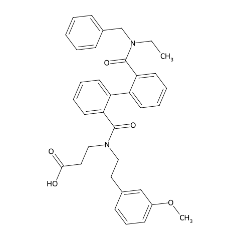 CCN(Cc1ccccc1)C(=O)c1ccccc1-c1ccccc1C(=O)N(CCC(=O)O)CCc1cccc(OC)c1